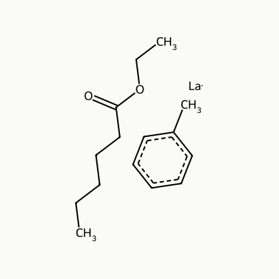 CCCCCC(=O)OCC.Cc1ccccc1.[La]